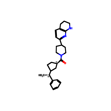 O=C(O)[C@@H](c1ccccc1)C1CC[C@@H](C(=O)N2CCC(c3ccc4c(n3)NCCC4)CC2)C1